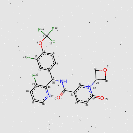 O=C(N[C@@H](c1ccc(OC(F)(F)F)c(F)c1)c1ncccc1F)c1ccc(=O)n(C2COC2)c1